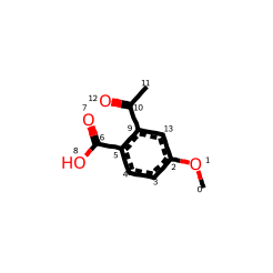 COc1ccc(C(=O)O)c(C(C)=O)c1